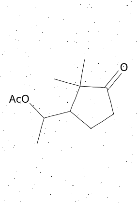 CC(=O)OC(C)C1CCC(=O)C1(C)C